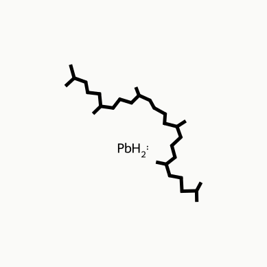 CC(C)CCCC(C)CCCC(C)CCCCC(C)CCCC(C)CCCC(C)C.[PbH2]